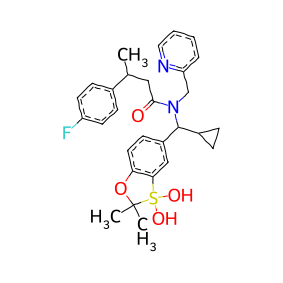 CC(CC(=O)N(Cc1ccccn1)C(c1ccc2c(c1)S(O)(O)C(C)(C)O2)C1CC1)c1ccc(F)cc1